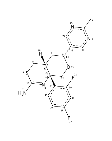 Cc1ncc([C@H]2C[C@H]3CSC(N)=N[C@@]3(c3ccc(F)cc3F)CO2)cn1